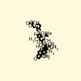 COc1c(N2CC3CCCN(Cc4oc(=O)oc4C)C3C2)c(F)c(C)c2c(=O)c(C(=O)OC(C)(C)C(=O)[C@@]34OC(C)(C)O[C@@H]3C[C@H]3[C@@H]5CCC6=CC(=O)C=C[C@]6(C)[C@@]5(F)[C@@H](O)C[C@@]34C)c(C)n(C3CC3)c12